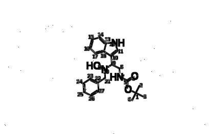 CC(C)(C)OC(=O)NCC(c1c[nH]c2ccccc12)N(O)Cc1ccccc1